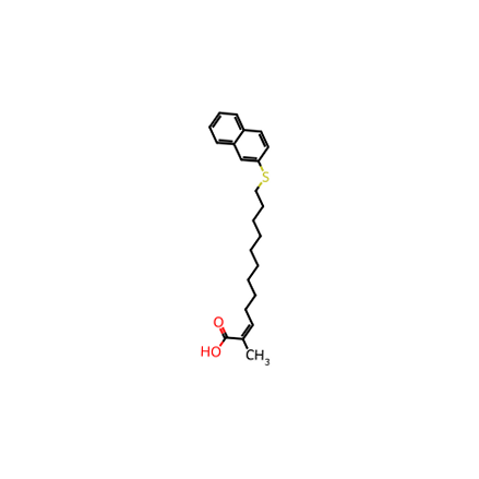 CC(=CCCCCCCCCCSc1ccc2ccccc2c1)C(=O)O